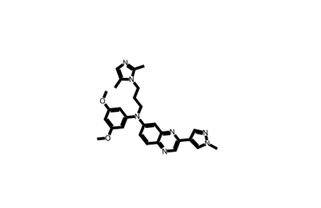 COc1cc(OC)cc(N(CCCn2c(C)cnc2C)c2ccc3ncc(-c4cnn(C)c4)nc3c2)c1